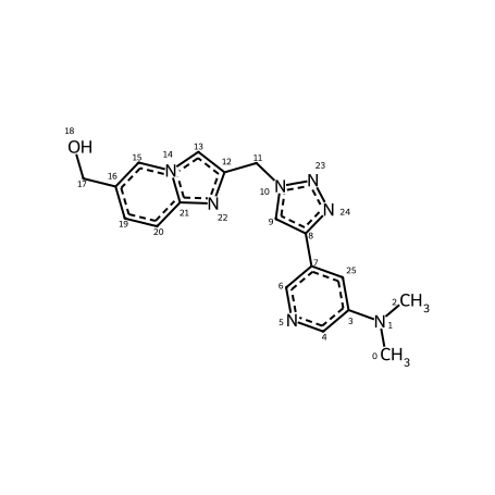 CN(C)c1cncc(-c2cn(Cc3cn4cc(CO)ccc4n3)nn2)c1